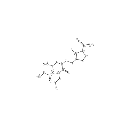 CN1C(CCN(CC(C=O)NC(=O)OC(C)(C)C)C(=O)NCCF)CCC1C(N)=O